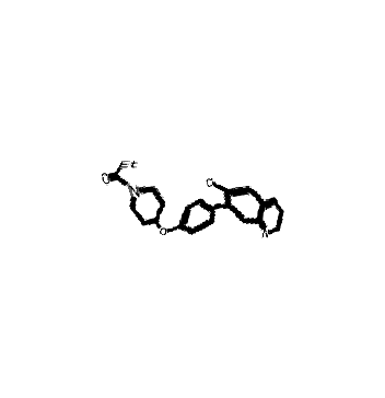 CCC(=O)N1CCC(Oc2ccc(-c3cc4ncccc4cc3Cl)cc2)CC1